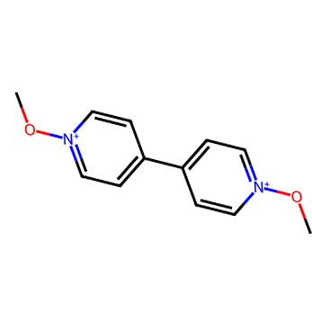 CO[n+]1ccc(-c2cc[n+](OC)cc2)cc1